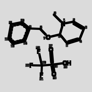 CN1C=CC=CC1OCc1ccccc1.O=S(=O)(O)C(F)(F)F